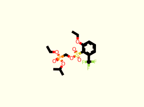 CCOc1cccc(C(F)(F)F)c1S(=O)(=O)OCP(=O)(OCC)OC(C)C